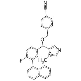 Cn1cncc1C(OCc1ccc(C#N)cc1)c1ccc(F)c(-c2cccc3ccccc23)c1